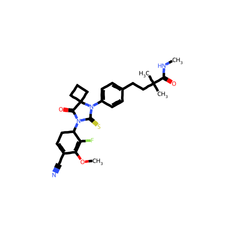 CNC(=O)C(C)(C)CCc1ccc(N2C(=S)N(C3CC=C(C#N)C(OC)=C3F)C(=O)C23CCC3)cc1